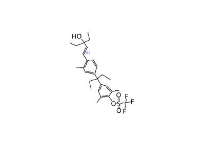 CCC(O)(/C=C/c1ccc(C(CC)(CC)c2cc(C)c(OS(=O)(=O)C(F)(F)F)c(C)c2)cc1C)CC